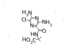 CC(C)(NC(=O)c1nc(Cl)c(N)nc1N)C(=O)O